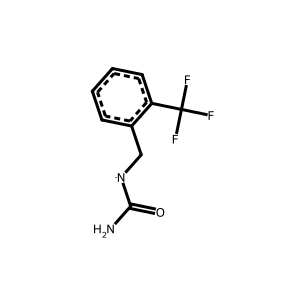 NC(=O)[N]Cc1ccccc1C(F)(F)F